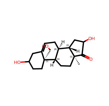 C[C@]12CC[C@H]3[C@@H](CC=C4CC(O)CC[C@@]43CO)[C@@H]1CC(O)C2=O